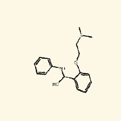 CN(C)CCOc1ccccc1C(O)Nc1ccccc1